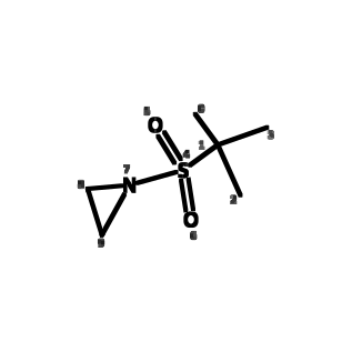 CC(C)(C)S(=O)(=O)N1CC1